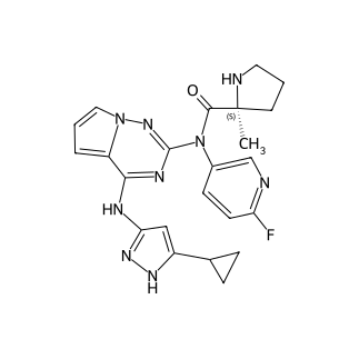 C[C@@]1(C(=O)N(c2ccc(F)nc2)c2nc(Nc3cc(C4CC4)[nH]n3)c3cccn3n2)CCCN1